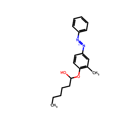 CCCCCC(O)Oc1ccc(/N=N/c2ccccc2)cc1C